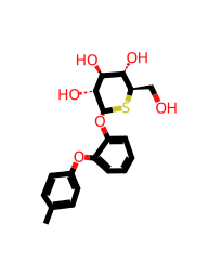 Cc1ccc(Oc2ccccc2O[C@@H]2S[C@H](CO)[C@@H](O)[C@H](O)[C@H]2O)cc1